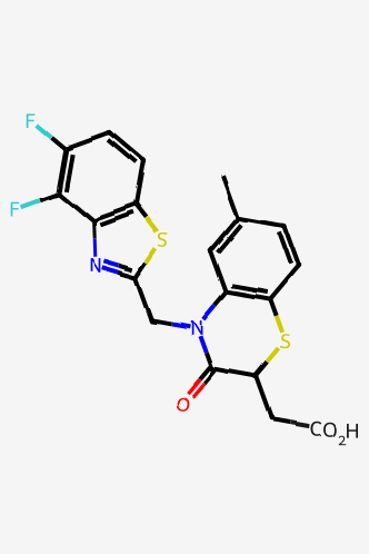 Cc1ccc2c(c1)N(Cc1nc3c(F)c(F)ccc3s1)C(=O)C(CC(=O)O)S2